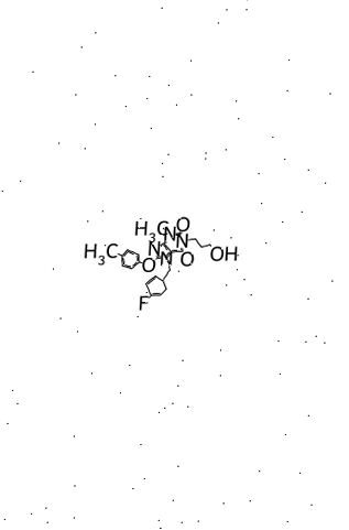 Cc1ccc(Oc2nc3c(c(=O)n(CCCO)c(=O)n3C)n2CC2C=CC(F)=CC2)cc1